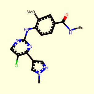 COc1cc(C(=O)NC(C)(C)C)ccc1Nc1ncc(Cl)c(-c2cnn(C)c2)n1